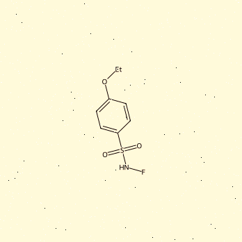 CCOc1ccc(S(=O)(=O)NF)cc1